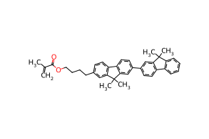 C=C(C)C(=O)OCCCCc1ccc2c(c1)C(C)(C)c1cc(-c3ccc4c(c3)C(C)(C)c3ccccc3-4)ccc1-2